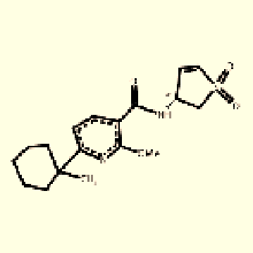 COc1nc(C2(C)CCCCC2)ccc1C(=O)N[C@@H]1C=CS(=O)(=O)C1